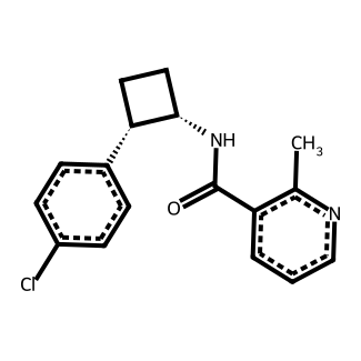 Cc1ncccc1C(=O)N[C@H]1CC[C@H]1c1ccc(Cl)cc1